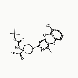 Cc1nc(N2CCC(NC(=O)OC(C)(C)C)(C(=O)O)CC2)cnc1Sc1cccc(Cl)c1Cl